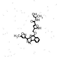 Cc1cc(-c2nnc3c4ccccc4c(OCC4C=C(C(=O)N[C@H](C)CO)ON4)nn23)no1